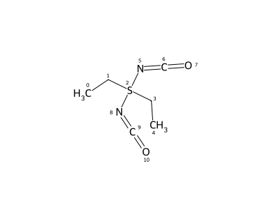 CCS(CC)(N=C=O)N=C=O